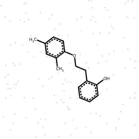 Cc1ccc(OCCc2ccccc2O)c(C)c1